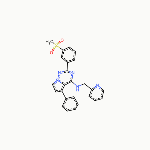 CS(=O)(=O)c1cccc(-c2nc(NCc3ccccn3)c3c(-c4ccccc4)ccn3n2)c1